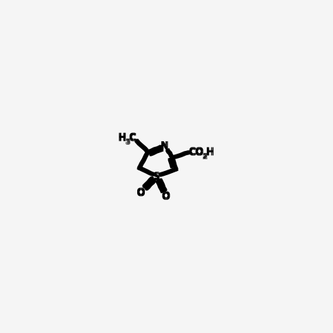 CC1=NC(C(=O)O)=CS(=O)(=O)C1